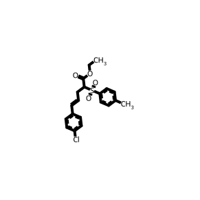 CCOC(=O)C(CC=Cc1ccc(Cl)cc1)S(=O)(=O)c1ccc(C)cc1